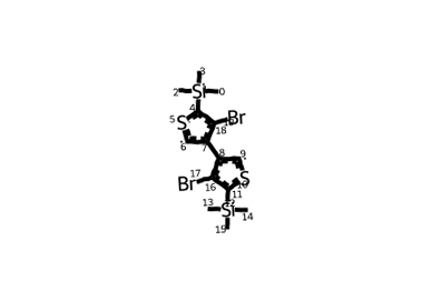 C[Si](C)(C)c1s[c]c(-c2[c]sc([Si](C)(C)C)c2Br)c1Br